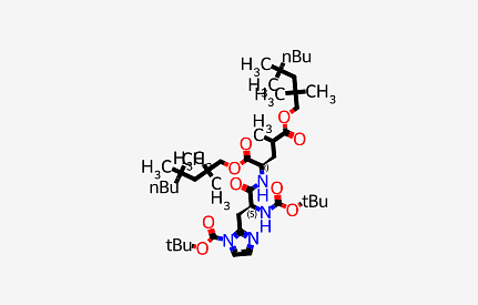 CCCCC(C)(C)CC(C)(C)COC(=O)C(C)C[C@@H](NC(=O)[C@H](Cc1nccn1C(=O)OC(C)(C)C)NC(=O)OC(C)(C)C)C(=O)OCC(C)(C)CC(C)(C)CCCC